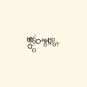 Cc1c(Cl)cccc1S(=O)(=O)N[C@@H](C)c1cccc(NC(=O)CNC(=O)OC(C)(C)C)c1